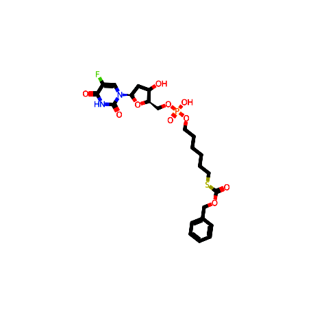 O=C(OCc1ccccc1)SCCCCCCOP(=O)(O)OC[C@H]1O[C@@H](n2cc(F)c(=O)[nH]c2=O)CC1O